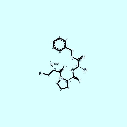 CC(=O)N[C@@H](CC(C)C)C(=O)N1CCC[C@H]1C(=O)N[C@H](C(=O)OCc1ccccc1)C(C)C